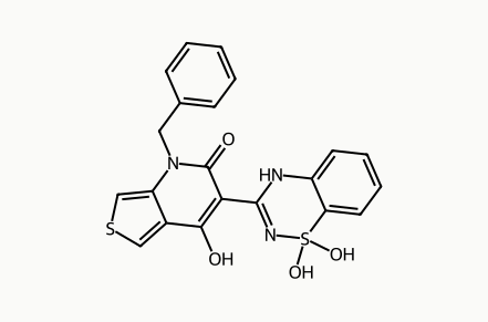 O=c1c(C2=NS(O)(O)c3ccccc3N2)c(O)c2cscc2n1Cc1ccccc1